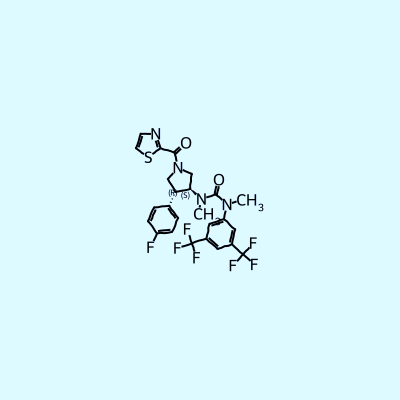 CN(C(=O)N(C)[C@@H]1CN(C(=O)c2nccs2)C[C@H]1c1ccc(F)cc1)c1cc(C(F)(F)F)cc(C(F)(F)F)c1